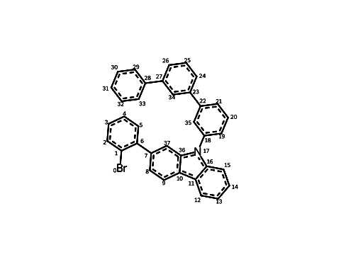 Brc1ccccc1-c1ccc2c3ccccc3n(-c3cccc(-c4cccc(-c5ccccc5)c4)c3)c2c1